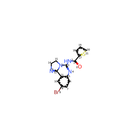 O=C(NC1=Nc2ccc(Br)cc2C2=NCCN12)c1cccs1